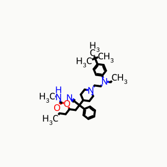 CCCC(CC(C#N)(c1ccccc1)C1CCN(CCN(CC)c2ccc(C(C)(C)C)cc2)CC1)OC(=O)NC